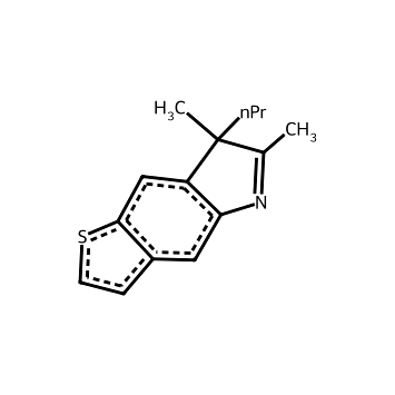 CCCC1(C)C(C)=Nc2cc3ccsc3cc21